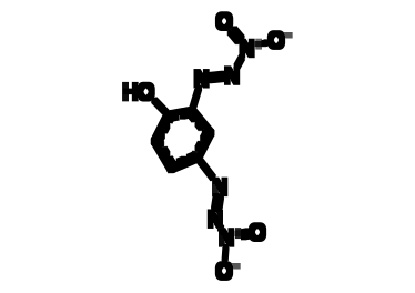 O=[N+]([O-])N=Nc1ccc(O)c(N=N[N+](=O)[O-])c1